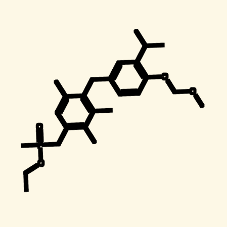 CCOP(C)(=O)Cc1cc(C)c(Cc2ccc(OCOC)c(C(C)C)c2)c(C)c1C